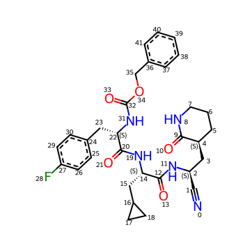 N#C[C@H](C[C@@H]1CCCNC1=O)NC(=O)[C@H](CC1CC1)NC(=O)[C@H](Cc1ccc(F)cc1)NC(=O)OCc1ccccc1